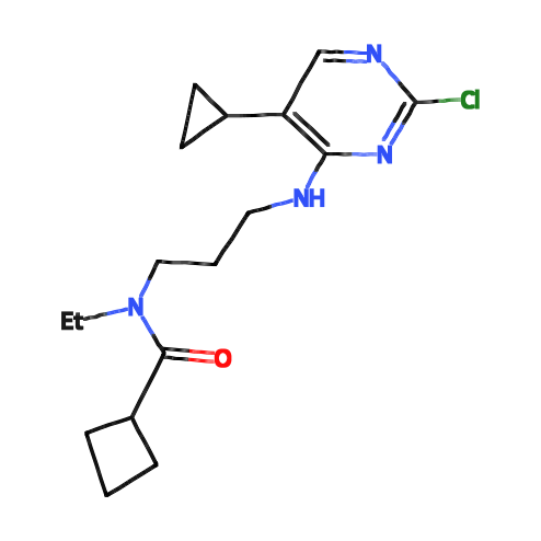 CCN(CCCNc1nc(Cl)ncc1C1CC1)C(=O)C1CCC1